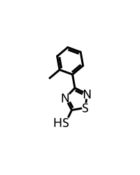 Cc1ccccc1-c1nsc(S)n1